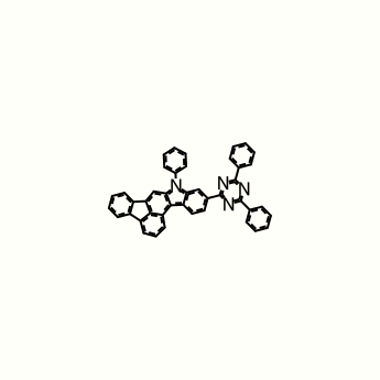 c1ccc(-c2nc(-c3ccccc3)nc(-c3ccc4c5c6cccc7c6c(cc5n(-c5ccccc5)c4c3)-c3ccccc3-7)n2)cc1